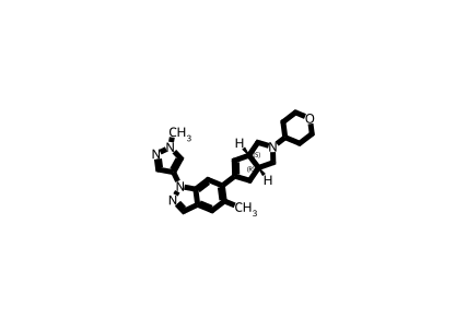 Cc1cc2cnn(-c3cnn(C)c3)c2cc1C1=C[C@@H]2CN(C3CCOCC3)C[C@@H]2C1